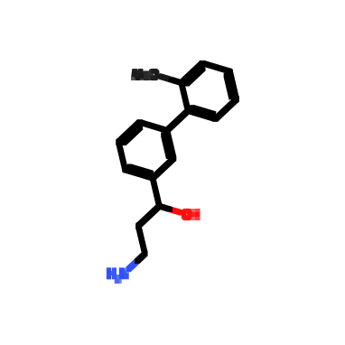 COc1ccccc1-c1cccc(C(O)CCN)c1